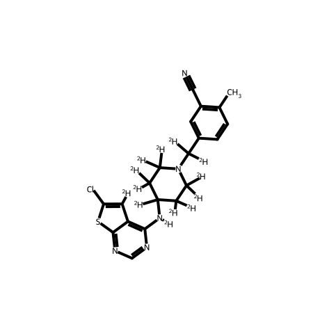 [2H]c1c(Cl)sc2ncnc(N([2H])C3([2H])C([2H])([2H])C([2H])([2H])N(C([2H])([2H])c4ccc(C)c(C#N)c4)C([2H])([2H])C3([2H])[2H])c12